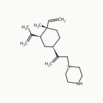 C=C[C@]1(C)CC[C@@H](C(=C)CN2CCNCC2)C[C@H]1C(=C)C